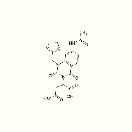 CC(=O)Nc1ccc2c(=O)n(C(CC(=O)O)C(=O)O)c(=O)n(Cc3ccco3)c2c1